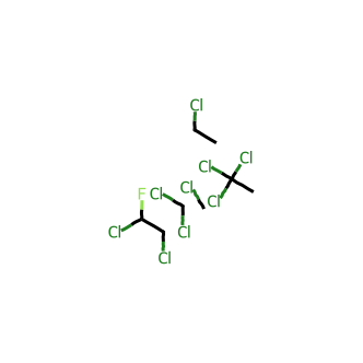 CC(Cl)(Cl)Cl.CCCl.CCl.ClCCl.FC(Cl)CCl